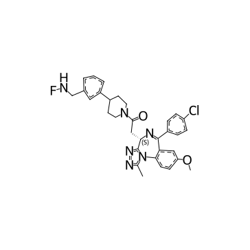 COc1ccc2c(c1)C(c1ccc(Cl)cc1)=N[C@@H](CC(=O)N1CCC(c3cccc(CNF)c3)CC1)c1nnc(C)n1-2